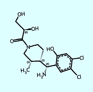 C[C@@H]1CN(C(=O)[C@H](O)CO)CC[C@@H]1[C@@H](N)c1cc(Cl)c(Cl)cc1O